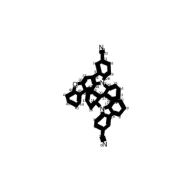 N#Cc1ccc2c(c1)c1ccccc1n2-c1ccccc1-c1ccccc1-n1c2ccc(C#N)cc2c2cc3oc4ccccc4c3cc21